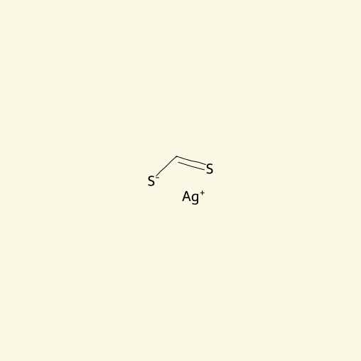 S=C[S-].[Ag+]